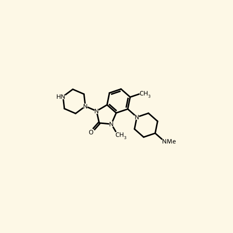 CNC1CCN(c2c(C)ccc3c2n(C)c(=O)n3N2CCNCC2)CC1